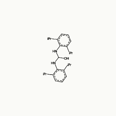 CC(C)c1cccc(C(C)C)c1NC(O)Nc1c(C(C)C)cccc1C(C)C